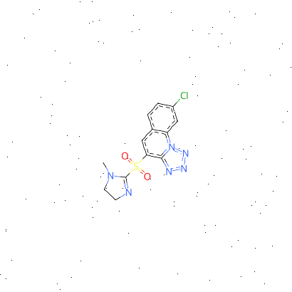 CN1CCN=C1S(=O)(=O)c1cc2ccc(Cl)cc2n2nnnc12